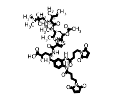 CC[C@H](C)[C@H](NCC(C)(C)N(C)C)C(=O)N(C)[C@H](C[C@@H](OC(C)=O)c1nc(C(=O)N[C@@H](Cc2ccc(NC(=O)CCCN3C(=O)C=CC3=O)c(NC(=O)CCCN3C(=O)C=CC3=O)c2)CC(C)C(=O)O)cs1)C(C)C